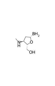 B[C@H]1C[C@H](NC)[C@@H](CO)O1